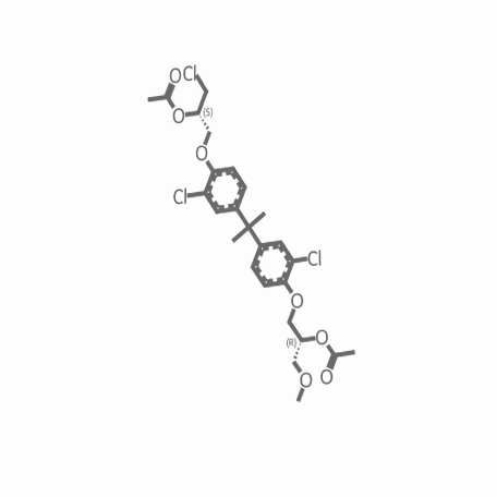 COC[C@H](COc1ccc(C(C)(C)c2ccc(OC[C@@H](CCl)OC(C)=O)c(Cl)c2)cc1Cl)OC(C)=O